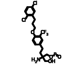 NC(CO)(CCc1ccc(OCCCc2cc(Cl)ccc2Cl)c(C(F)(F)F)c1)COP=O